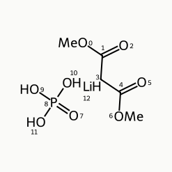 COC(=O)CC(=O)OC.O=P(O)(O)O.[LiH]